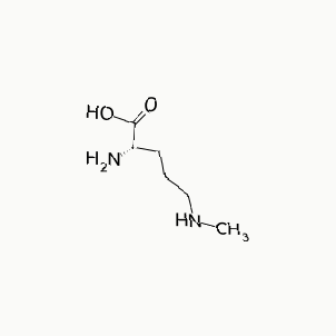 CNCCC[C@H](N)C(=O)O